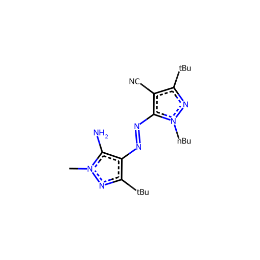 CCCCn1nc(C(C)(C)C)c(C#N)c1N=Nc1c(C(C)(C)C)nn(C)c1N